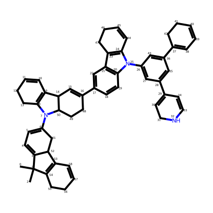 CC1(C)C2=CC=C(N3C4=C(C=CCC4)C4C=C(c5ccc6c(c5)c5c(n6-c6cc(C7=CCNC=C7)cc(C7=CC=CCC7)c6)C=CCC5)CCC43)CC2C2=C1CCC=C2